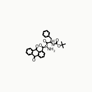 CC(C)(C)OC(=O)N[C@H](Cc1ccccc1)C(=O)N(N)C(=O)c1cccc2c1C(=O)c1ccccc1C2=O